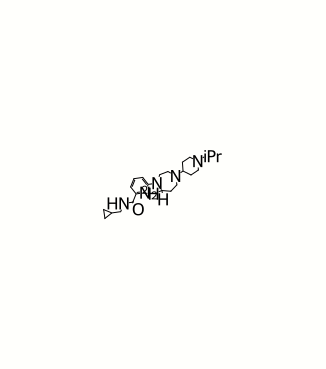 [2H]C1([2H])CCN(C2CCN(C(C)C)CC2)CCN1c1cccc(C(=O)NCC2CC2)n1